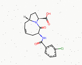 O=C(N[C@H]1CC=CC[C@@H]2CC[C@@H](C(=O)O)N2C1=O)c1cccc(Cl)c1